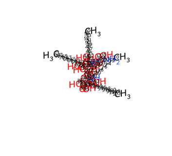 CCCCCCCCCCC[C@@H](O)CC(=O)N[C@H]1[C@H](OC[C@H]2O[C@H](OP(=O)(O)O[C@H]3OC[C@H](N)[C@H](O)[C@H]3O)[C@H](NC(=O)C[C@H](O)CCCCCCCCCCC)[C@@H](OC(=O)C[C@H](O)CCCCCCCCCCC)[C@@H]2O)O[C@H](CO)[C@@H](OP(=O)(O)O)[C@@H]1OC(=O)C[C@H](O)CCCCCCCCCCC